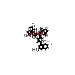 CC1CCCc2cc(O)cc(-c3ncc4c(N5C[C@H]6CC[C@@H](C5)N6CC(O)CNC(=O)OC(C)(C)C)nc(OC[C@@]56CCCN5C[C@H](F)C6)nc4c3F)c21